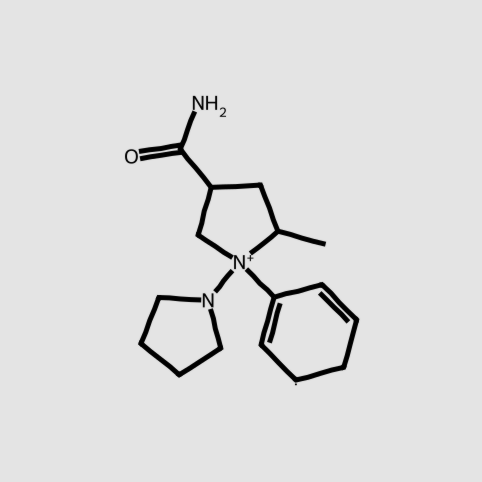 CC1CC(C(N)=O)C[N+]1(C1=C[CH]CC=C1)N1CCCC1